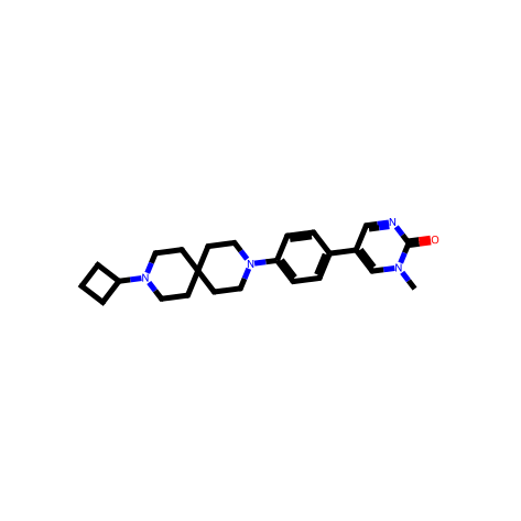 Cn1cc(-c2ccc(N3CCC4(CC3)CCN(C3CCC3)CC4)cc2)cnc1=O